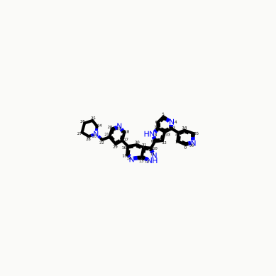 c1cc(-c2nccc3[nH]c(-c4n[nH]c5ncc(-c6cncc(CN7CCCCC7)c6)cc45)cc23)ccn1